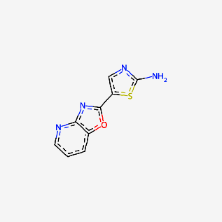 Nc1ncc(-c2nc3ncccc3o2)s1